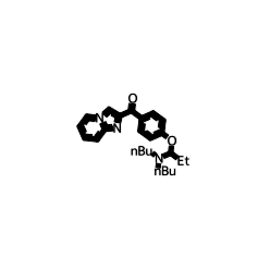 CCCCN(CCCC)C(CC)Oc1ccc(C(=O)c2cn3ccccc3n2)cc1